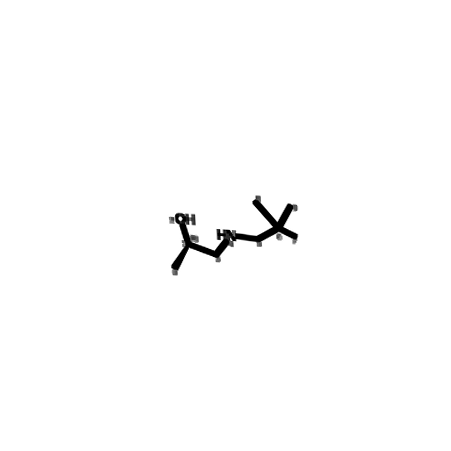 C[C@@H](O)CNCC(C)(C)C